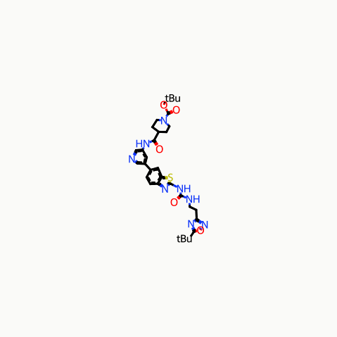 CC(C)(C)OC(=O)N1CCC(C(=O)Nc2cncc(-c3ccc4nc(NC(=O)NCCc5noc(C(C)(C)C)n5)sc4c3)c2)CC1